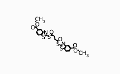 CCOC(=O)c1ccc2sc(SC(=O)CCC(=O)Sc3nc4cc(C(=O)OCC)ccc4s3)nc2c1